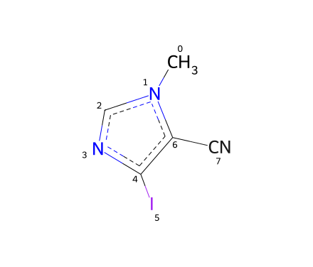 Cn1cnc(I)c1C#N